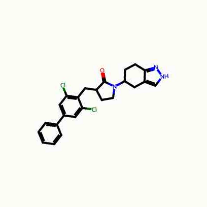 O=C1C(Cc2c(Cl)cc(-c3ccccc3)cc2Cl)CCN1C1CCc2n[nH]cc2C1